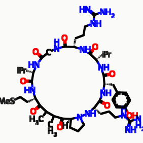 CSCC[C@@H]1NC(=O)[C@H](C(C)C)NC(=O)CNC(=O)[C@H](CCCNC(=N)N)NC(=O)[C@H](C(C)C)NC(=O)[C@H](Cc2ccc(O)cc2)NC(=O)[C@H](CCCNC(=N)N)NN2CCC[C@H]2C(=O)C(C)C(C)C1=O